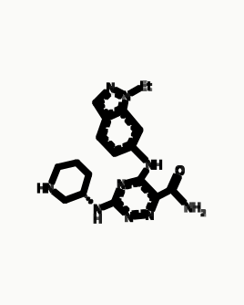 CCn1ncc2ccc(Nc3nc(N[C@H]4CCCNC4)nnc3C(N)=O)cc21